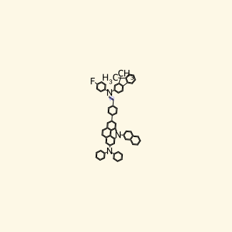 CC1(C)c2ccccc2-c2ccc(N(/C=C/c3ccc(-c4cc5ccc6cc(N(c7ccccc7)c7ccccc7)cc7c6c5c(c4)n7-c4ccc5ccccc5c4)cc3)c3ccc(F)cc3)cc21